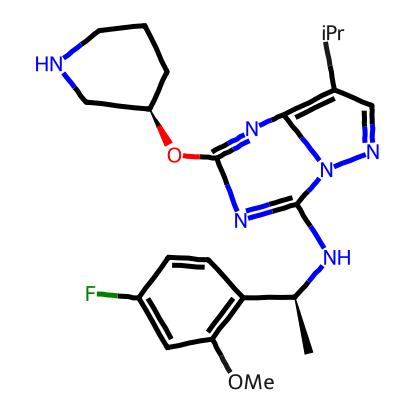 COc1cc(F)ccc1[C@H](C)Nc1nc(O[C@@H]2CCCNC2)nc2c(C(C)C)cnn12